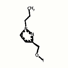 CCCn1ccc(COI)n1